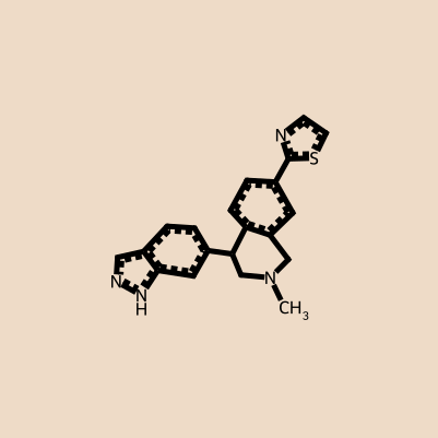 CN1Cc2cc(-c3nccs3)ccc2C(c2ccc3cn[nH]c3c2)C1